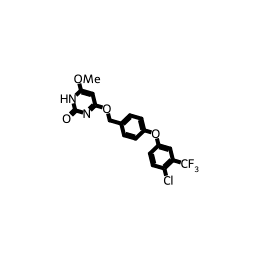 COc1cc(OCc2ccc(Oc3ccc(Cl)c(C(F)(F)F)c3)cc2)nc(=O)[nH]1